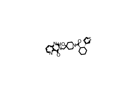 O=C([C@@H]1CCCC[C@H]1c1ccsc1)N1CCC(O)(Cn2cnc3cccnc3c2=O)CC1